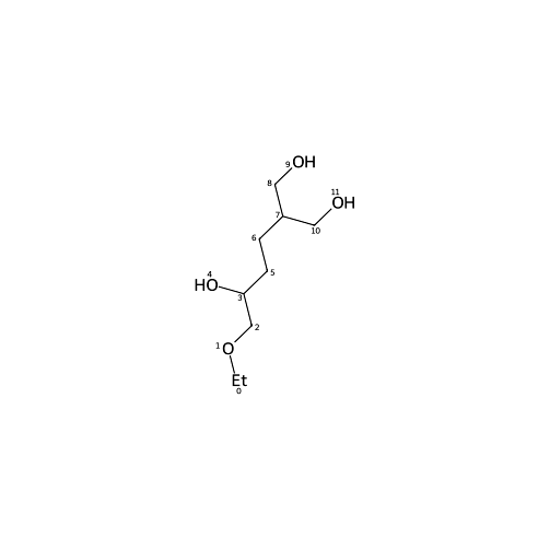 [CH2]COCC(O)CCC(CO)CO